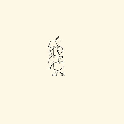 C=C1CC[C@H]2[C@@H]3CC[C@H]4C[C@](O)(CC)CC[C@@H]4[C@H]3CC[C@]12C